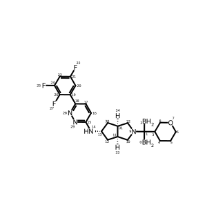 BC(B)(C1CCCOC1)N1C[C@H]2C[C@H](Nc3ccc(-c4cc(F)cc(F)c4F)nn3)C[C@H]2C1